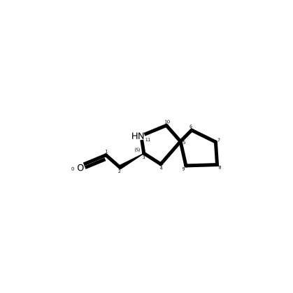 O=CC[C@@H]1CC2(CCCC2)CN1